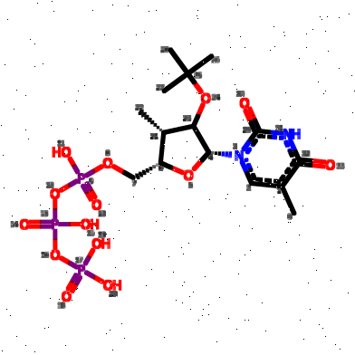 Cc1cn([C@@H]2O[C@H](COP(=O)(O)OP(=O)(O)OP(=O)(O)O)[C@H](C)C2OC(C)(C)C)c(=O)[nH]c1=O